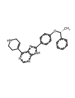 C[C@@H](Oc1ccc(-c2nc3c(C4=CCNCC4)ncnc3[nH]2)cc1)c1ccccc1